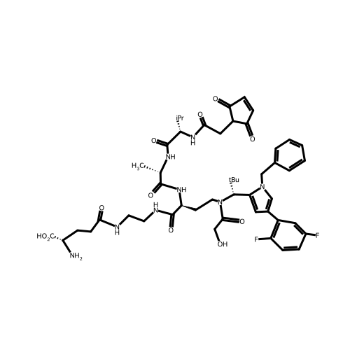 CC(C)[C@H](NC(=O)CC1C(=O)C=CC1=O)C(=O)N[C@@H](C)C(=O)N[C@@H](CCN(C(=O)CO)[C@@H](c1cc(-c2cc(F)ccc2F)cn1Cc1ccccc1)C(C)(C)C)C(=O)NCCNC(=O)CC[C@H](N)C(=O)O